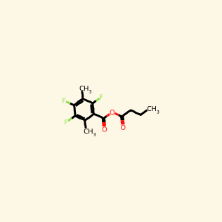 CCCC(=O)OC(=O)c1c(C)c(F)c(F)c(C)c1F